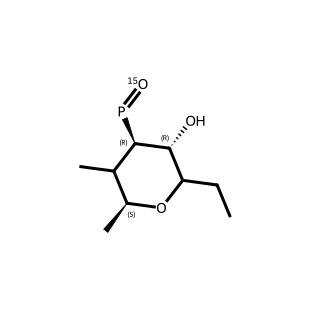 CCC1O[C@@H](C)C(C)[C@@H](P=[15O])[C@@H]1O